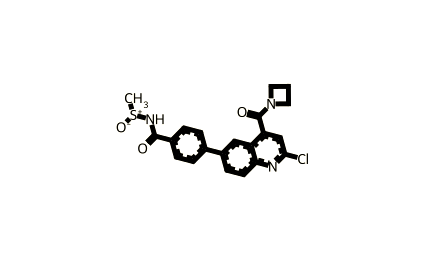 C[S+]([O-])NC(=O)c1ccc(-c2ccc3nc(Cl)cc(C(=O)N4CCC4)c3c2)cc1